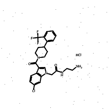 Cl.NCCNC(=O)Cn1cc(C(=O)N2CCC(c3ccccc3C(F)(F)F)CC2)c2ccc(Cl)cc21